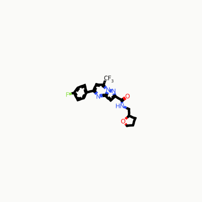 O=C(NCC1CCCO1)c1cc2nc(-c3ccc(F)cc3)cc(C(F)(F)F)n2n1